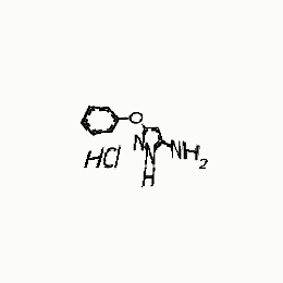 Cl.Nc1cc(Oc2ccccc2)n[nH]1